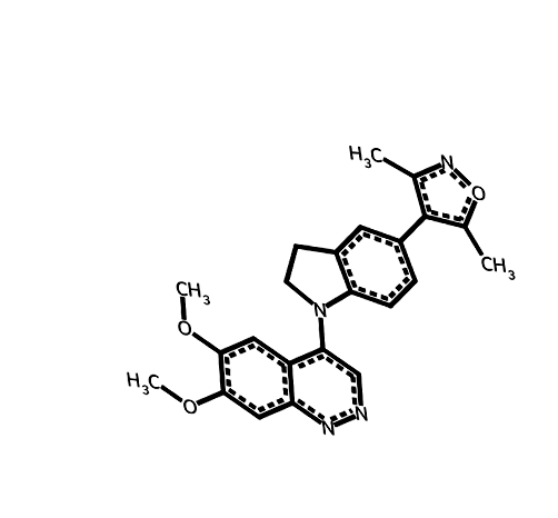 COc1cc2nncc(N3CCc4cc(-c5c(C)noc5C)ccc43)c2cc1OC